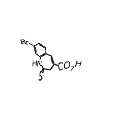 O=C(O)C1=Cc2ccc(Br)cc2NC(=S)C1